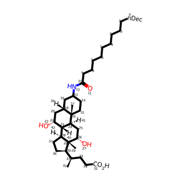 CCCCCCCCCCCCCCCCCCCC(=O)NC1CC[C@@]2(C)[C@@H](C1)C[C@@H](O)[C@@H]1[C@@H]2C[C@H](O)[C@]2(C)[C@@H]([C@H](C)CCC(=O)O)CC[C@@H]12